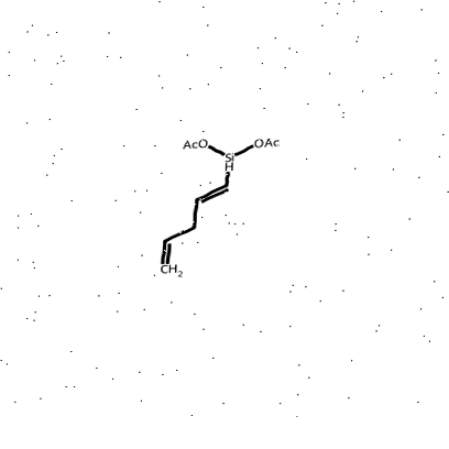 C=CCC=C[SiH](OC(C)=O)OC(C)=O